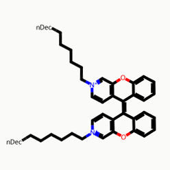 CCCCCCCCCCCCCCCC[n+]1ccc2c(c1)Oc1ccccc1/C2=C1\c2ccccc2Oc2c[n+](CCCCCCCCCCCCCCCC)ccc21